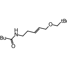 CC(C)(C)COCC=CCCNC(=O)C(C)(C)C